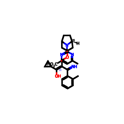 Cc1cc(C(=O)O)nc(N2C3CC[C@H]2CC(OC/C(C(=N)c2ccccc2C)=C(/O)C2CC2)C3)n1